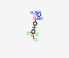 CC(C)(c1ccc(C(=O)Nc2ccnc(N)n2)cc1)c1cc(Cl)c(OCCCl)c(Cl)c1